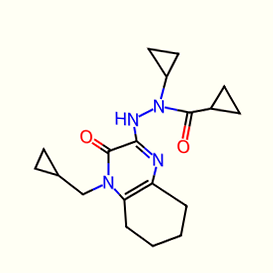 O=C(C1CC1)N(Nc1nc2c(n(CC3CC3)c1=O)CCCC2)C1CC1